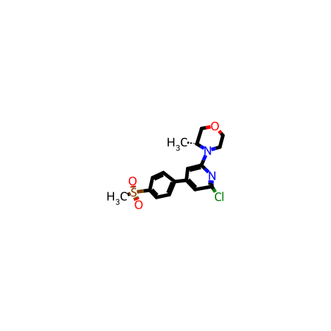 C[C@@H]1COCCN1c1cc(-c2ccc(S(C)(=O)=O)cc2)cc(Cl)n1